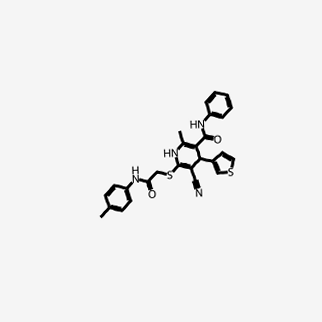 CC1=C(C(=O)Nc2ccccc2)C(c2ccsc2)C(C#N)=C(SCC(=O)Nc2ccc(C)cc2)N1